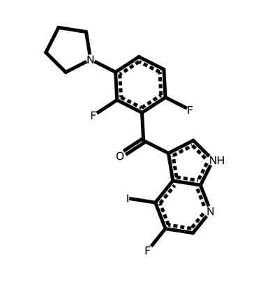 O=C(c1c(F)ccc(N2CCCC2)c1F)c1c[nH]c2ncc(F)c(I)c12